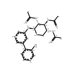 CC(=O)O[C@@H]1[C@@H](OC(C)=O)[C@H](OC(C)=O)CS[C@H]1Oc1cncc(-c2ccncc2Cl)c1